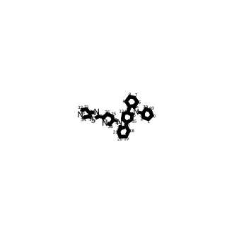 c1ccc(-n2c3ccccc3c3cc4c(cc32)c2ccccc2n4-c2ccc(-c3nc4ccncc4s3)nc2)cc1